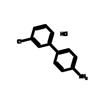 Cl.Nc1ccc(-c2cccc(Cl)c2)cc1